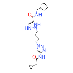 O=C(CC1CC1)Nc1cn(CCCCN2NC=C(C(=O)NCC3CCCC3)N2)nn1